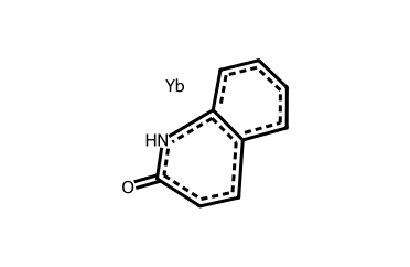 O=c1ccc2ccccc2[nH]1.[Yb]